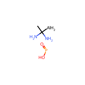 C[C](N)(N)[AlH2].O=PO